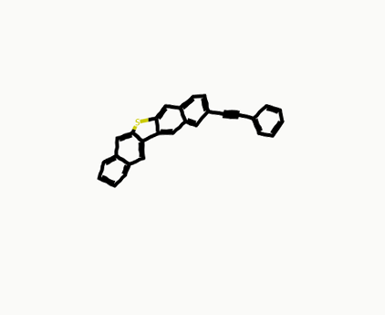 C(#Cc1ccc2cc3sc4cc5ccccc5cc4c3cc2c1)c1ccccc1